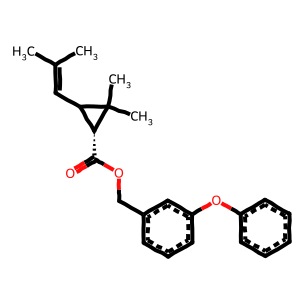 CC(C)=CC1[C@@H](C(=O)OCc2cccc(Oc3ccccc3)c2)C1(C)C